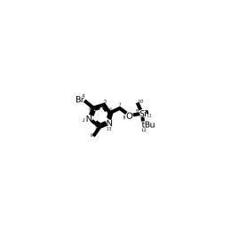 Cc1nc(Br)cc(CO[Si](C)(C)C(C)(C)C)n1